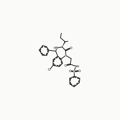 CCC(C)[C@@H]1NC(c2ccccc2)c2cc(Cl)ccc2N(CC(=O)NS(=O)(=O)c2ccccc2)C1=O